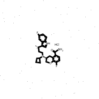 C[C@@H](CCN(C1CCC1)[C@@H]1COc2c(F)ccc(C(N)=O)c2C1)c1c[nH]c2ccc(F)cc12.Cl